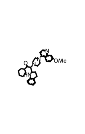 COc1ccc2c(N3CCN(C(C(=O)C4CCCCC4)C4CCc5ccccc5N4)CC3)ccnc2c1